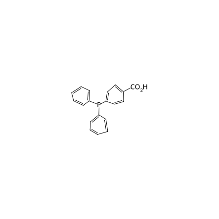 O=C(O)c1ccc(P(c2ccccc2)c2ccccc2)cc1